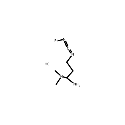 CCN=C=NCCC(N)N(C)C.Cl